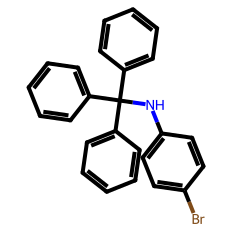 Brc1ccc(NC(c2ccccc2)(c2ccccc2)c2ccccc2)cc1